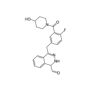 O=CC1NN=C(Cc2ccc(F)c(C(=O)N3CCC(O)CC3)c2)c2ccccc21